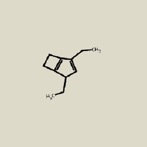 CCC1=[C]C(CC)C2=C1CC2